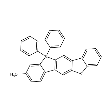 Cc1ccc2c(c1)[Si](c1ccccc1)(c1ccccc1)c1cc3c(cc1-2)sc1ccccc13